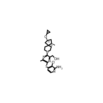 Cc1nc(N2CCC3(CC2)C[C@@H](OC2CC2)C[C@H]3C)c(CO)nc1Sc1ccnc(N)c1Cl